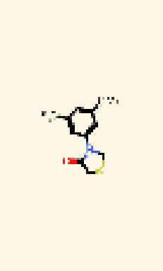 COc1cc(N2CSCC2=O)cc(C(F)(F)F)c1